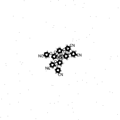 N#Cc1ccc(Oc2cccc(OP(=O)(Oc3cccc(Oc4ccc(C#N)cc4)c3Oc3ccc(C#N)cc3)Oc3cccc(Oc4ccc(C#N)cc4)c3Oc3ccc(C#N)cc3)c2Oc2ccc(C#N)cc2)cc1